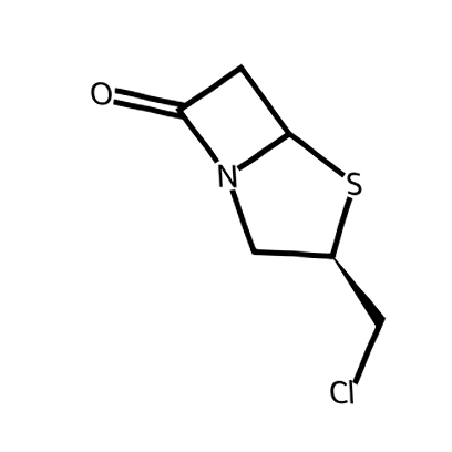 O=C1CC2S[C@@H](CCl)CN12